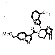 COCc1ccc2c(C(=O)N3CCc4[nH]cnc4[C@@H]3c3cc4c(C)cccn4n3)cnn2c1